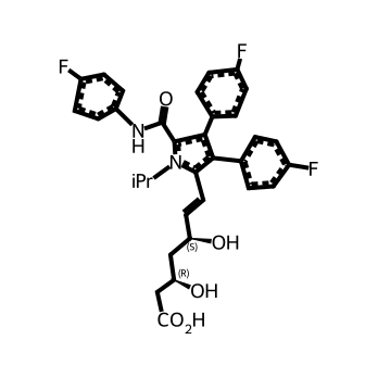 CC(C)n1c(C=C[C@@H](O)C[C@@H](O)CC(=O)O)c(-c2ccc(F)cc2)c(-c2ccc(F)cc2)c1C(=O)Nc1ccc(F)cc1